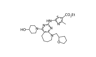 CCOC(=O)c1sc(Nc2nc(N3CCC(O)CC3)c3c(n2)N(CC2CCCO2)CCCC3)nc1C